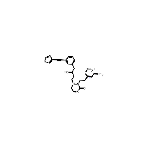 C=C/C=C(/CCN1C(=O)SCCN1CCC(O)Cc1cccc(C#Cc2cscn2)c1)SC(=O)O